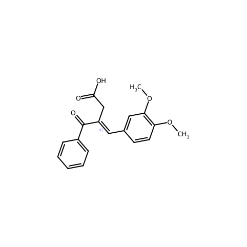 COc1ccc(/C=C(\CC(=O)O)C(=O)c2ccccc2)cc1OC